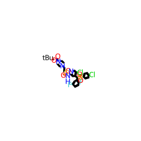 CC(C)(C)OC(=O)N1CCN(CCS(=O)(=O)Nc2cc(C(c3cc(F)ccc3F)S(=O)(=O)c3ccc(Cl)cc3)c(Cl)cn2)CC1